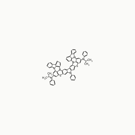 CC(C)N(c1ccccc1)c1cc2c3c(c1)-n1c4ccccc4c4cccc(c41)B3c1cc3c4cc5c(cc4n(-c4ccccc4)c3cc1S2)Sc1cc(N(c2ccccc2)C(C)C)cc2c1B5c1cccc3c4ccccc4n-2c13